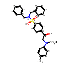 O=C(CN(C(=O)O)c1ccc(C(F)(F)F)cc1)c1ccc(S(=O)(=O)N(Cc2ccccc2)Cc2ccccc2)cc1